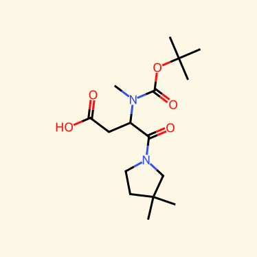 CN(C(=O)OC(C)(C)C)C(CC(=O)O)C(=O)N1CCC(C)(C)C1